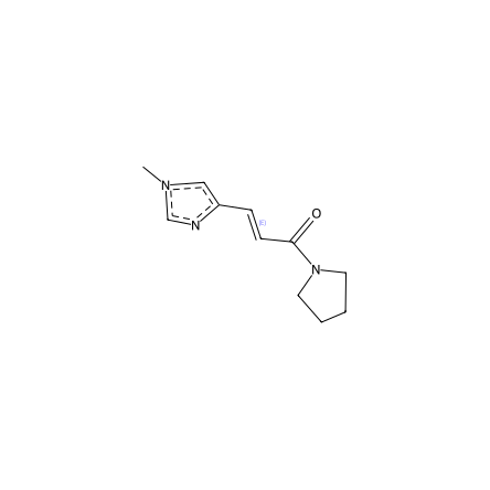 Cn1cnc(/C=C/C(=O)N2CCCC2)c1